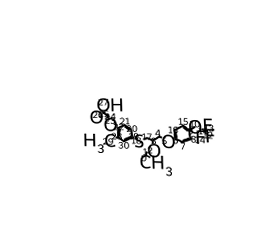 CCOC(COc1ccc(OC(F)(F)F)cc1)CSc1ccc(OCC(=O)O)c(C)c1